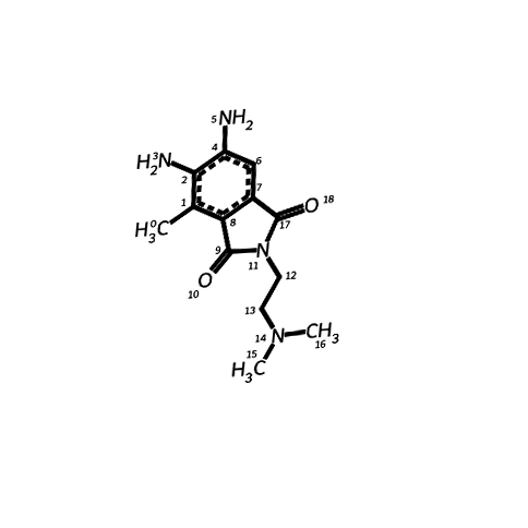 Cc1c(N)c(N)cc2c1C(=O)N(CCN(C)C)C2=O